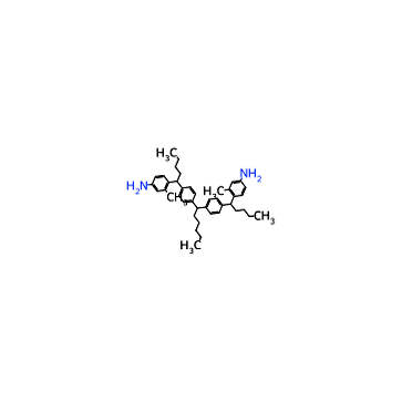 CCCCCC(c1ccc(C(CCCC)c2ccc(N)cc2C)cc1)c1ccc(C(CCCC)c2ccc(N)cc2C)cc1